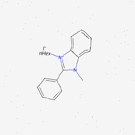 CCCCCC[n+]1c(-c2ccccc2)n(C)c2ccccc21.[I-]